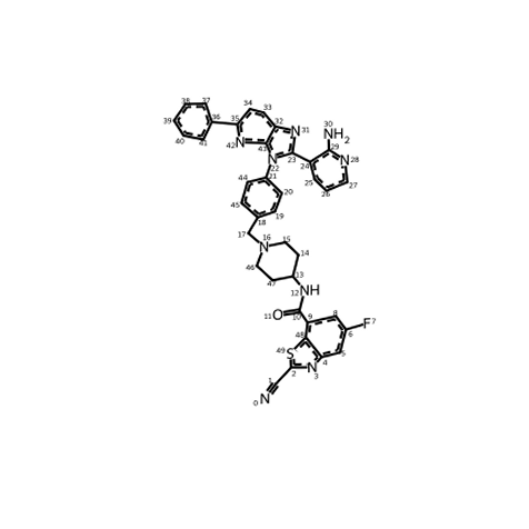 N#Cc1nc2cc(F)cc(C(=O)NC3CCN(Cc4ccc(-n5c(-c6cccnc6N)nc6ccc(-c7ccccc7)nc65)cc4)CC3)c2s1